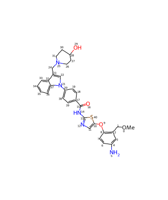 COCc1cc(N)ccc1Oc1cnc(NC(=O)c2ccc(-n3cc(CN4CCC(O)CC4)c4ccccc43)cc2)s1